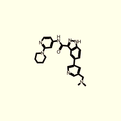 CN(C)Cc1cncc(-c2ccc3[nH]nc(C(=O)Nc4ccnc(N5CCCCC5)c4)c3c2)c1